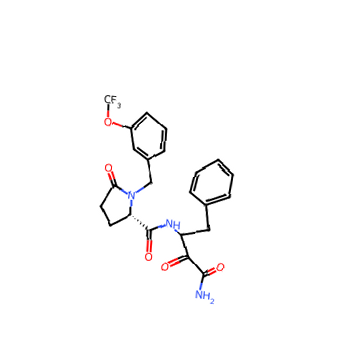 NC(=O)C(=O)C(Cc1ccccc1)NC(=O)[C@@H]1CCC(=O)N1Cc1cccc(OC(F)(F)F)c1